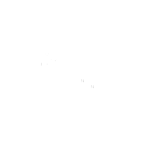 Cc1cc2nc(Cc3ccccc3)n(Cc3ccc(-c4ccccc4OC(=O)O)cc3)c2cc1C